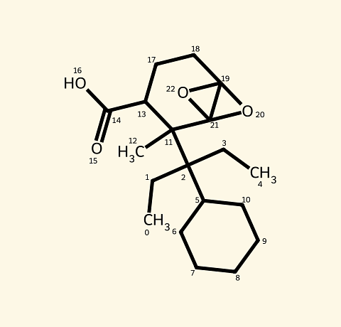 CCC(CC)(C1CCCCC1)C1(C)C(C(=O)O)CCC23OC21O3